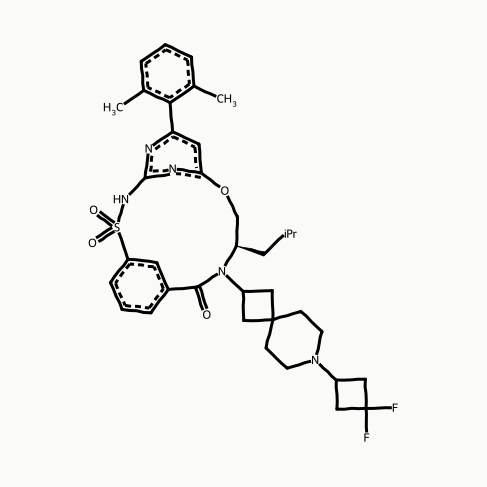 Cc1cccc(C)c1-c1cc2nc(n1)NS(=O)(=O)c1cccc(c1)C(=O)N(C1CC3(CCN(C4CC(F)(F)C4)CC3)C1)[C@H](CC(C)C)CO2